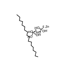 CCCCCCCCCCCCCCCCCC.OP(O)(O)=S.OP(O)(O)=S.[Zn]